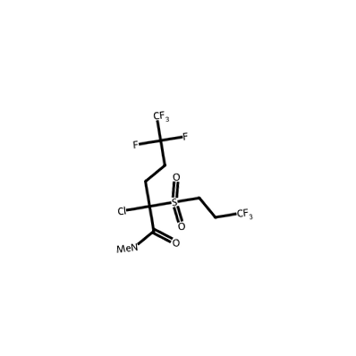 CNC(=O)C(Cl)(CCC(F)(F)C(F)(F)F)S(=O)(=O)CCC(F)(F)F